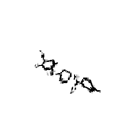 Cc1ccc(C(=O)N[C@H]2CC[C@H](Pc3ccc(C#N)c(Cl)c3)CC2)cc1